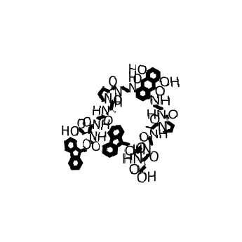 C[C@H](NC(=O)CNC(=O)[C@H](CC(=O)O)NC(=O)OCC1c2ccccc2-c2ccccc21)C(=O)N1CCC[C@H]1C(=O)NCCNc1ccc(NCCNC(=O)[C@@H]2CCCN2C(=O)[C@H](C)NC(=O)CNC(=O)[C@H](CC(=O)O)NC(=O)OCC2c3ccccc3-c3ccccc32)c2c1C(=O)c1c(O)ccc(O)c1C2=O